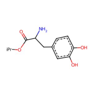 CC(C)OC(=O)C(N)Cc1ccc(O)c(O)c1